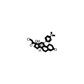 CN(C)c1ccc([C@H]2C[C@@]3(C)[C@@H](CC[C@]3(O)C(=O)CCl)[C@@H]3CCC4=CC(=O)CCC4=C32)cc1